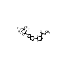 COC(=O)c1ccnc(N2CCC3(CN(C(=O)OC(C)(C)C)C3)C2)n1